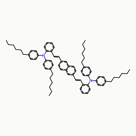 CCCCCCc1ccc(N(c2ccc(CCCCCC)cc2)c2ccccc2/C=C/c2ccc3cc(/C=C/c4ccccc4N(c4ccc(CCCCCC)cc4)c4ccc(CCCCCC)cc4)ccc3c2)cc1